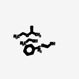 CCO.CCOC(C)=O.Cc1ccccc1.O=CO